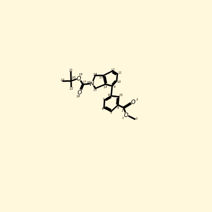 COC(=O)c1cccc(-c2cccc3c2CN(C(=O)OC(C)(C)C)C3)c1